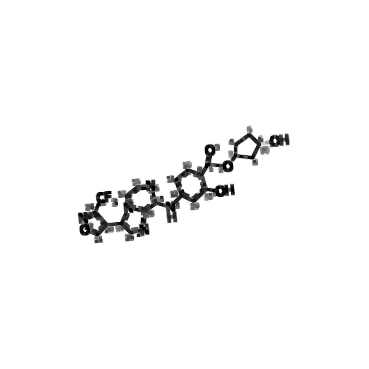 O=C(OC1CC[C@H](O)C1)c1ccc(Nc2nccn3c(-c4conc4C(F)(F)F)cnc23)cc1O